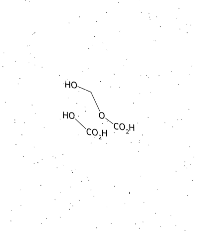 O=C(O)O.O=C(O)OCO